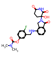 CN(C)C(=O)Oc1ccc(F)c(CNc2cccc3c2CN(C2(O)CCC(=O)NC2=O)C3=O)c1